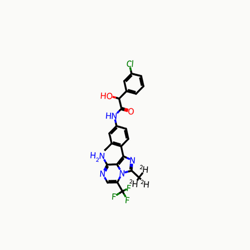 [2H]C([2H])([2H])c1nc(-c2ccc(NC(=O)C(O)c3cccc(Cl)c3)cc2C)c2c(N)ncc(C(F)(F)F)n12